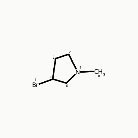 CN1C[CH]C(Br)C1